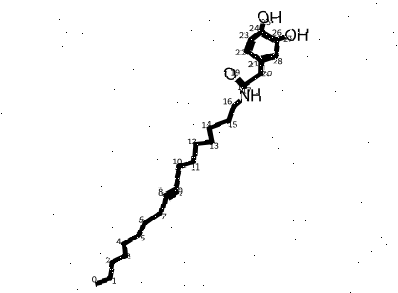 CCCCCCCCC=CCCCCCCCNC(=O)Cc1ccc(O)c(O)c1